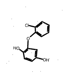 Oc1ccc(O)c(Oc2ccccc2Cl)c1